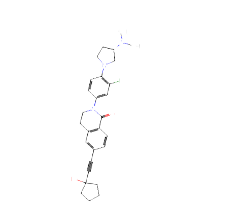 CN(C)[C@@H]1CCN(c2ccc(N3CCc4cc(C#CC5(O)CCCC5)ccc4C3=O)cc2F)C1